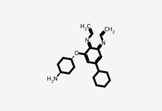 C=C/N=C1/C=C(C2CCCCC2)C=C(O[C@H]2CC[C@H](N)CC2)/C1=N/C=C